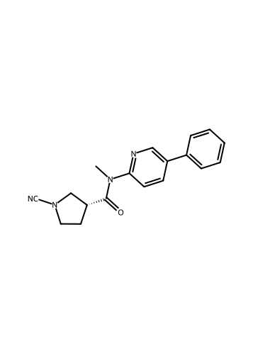 CN(C(=O)[C@@H]1CCN(C#N)C1)c1ccc(-c2ccccc2)cn1